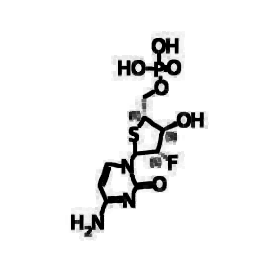 Nc1ccn(C2S[C@H](COP(=O)(O)O)[C@@H](O)[C@@H]2F)c(=O)n1